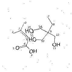 CC(C)=CC(=O)O.CCC(CO)(CO)CO